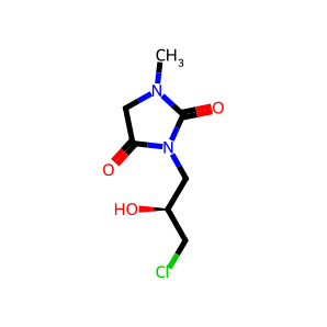 CN1CC(=O)N(C[C@H](O)CCl)C1=O